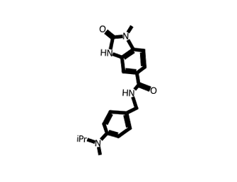 CC(C)N(C)c1ccc(CNC(=O)c2ccc3c(c2)[nH]c(=O)n3C)cc1